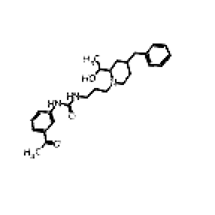 CC(=O)c1cccc(NC(=O)NCCCN2CCC(Cc3ccccc3)CC2C(C)O)c1